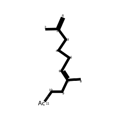 C=C(C)CCCC=C(C)CCC(C)=O